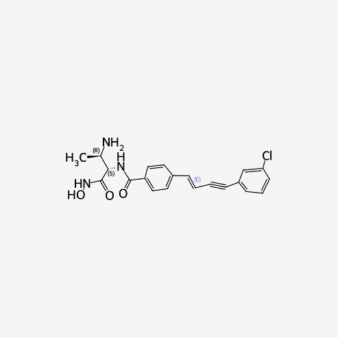 C[C@@H](N)[C@H](NC(=O)c1ccc(/C=C/C#Cc2cccc(Cl)c2)cc1)C(=O)NO